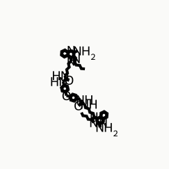 CCCCc1nc2c(N)nc3ccccc3c2n1CCCCNC(=O)Nc1ccc(Oc2ccc(NC(=O)NCCCCn3c(CCCC)nc4c(N)nc5ccccc5c43)cc2)cc1